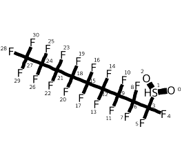 O=[SH](=O)C(F)(F)C(F)(F)C(F)(F)C(F)(F)C(F)(F)C(F)(F)C(F)(F)C(F)(F)C(F)(F)F